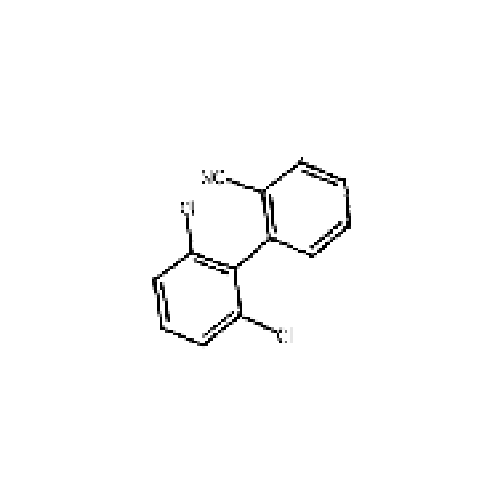 N#Cc1[c]cccc1-c1c(Cl)cccc1Cl